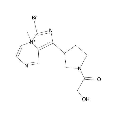 C[N+]12C=CN=CC1=C(C1CCN(C(=O)CO)C1)N=C2Br